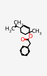 C=C(C)[C@H]1C=CC(C)(OC(=O)Cc2ccccc2)CC1